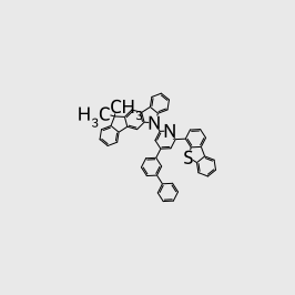 CC1(C)c2ccccc2-c2cc3c(cc21)c1ccccc1n3-c1cc(-c2cccc(-c3ccccc3)c2)cc(-c2cccc3c2sc2ccccc23)n1